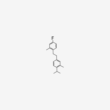 Cc1cc(F)ccc1CCc1ccc(C(C)C)c(C)c1